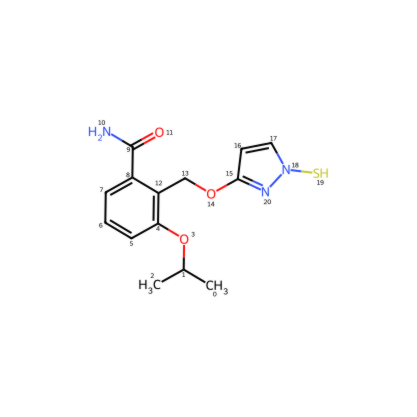 CC(C)Oc1cccc(C(N)=O)c1COc1ccn(S)n1